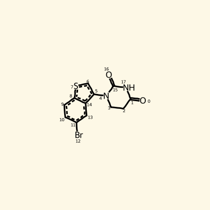 O=C1CCN(c2csc3ccc(Br)cc23)C(=O)N1